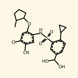 CC1CCCC1Oc1cc(Cl)c(C#N)cc1NS(=O)(=O)c1cc(C(O)O)ccc1C1CC1